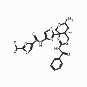 C[C@H]1C[C@H]2CSC(NC(=O)c3ccccc3)=NC2(c2nc(NC(=O)c3coc(C(F)F)n3)cs2)CO1